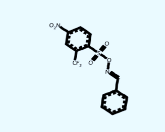 O=[N+]([O-])c1ccc(S(=O)(=O)O/N=[C]/c2ccccc2)c(C(F)(F)F)c1